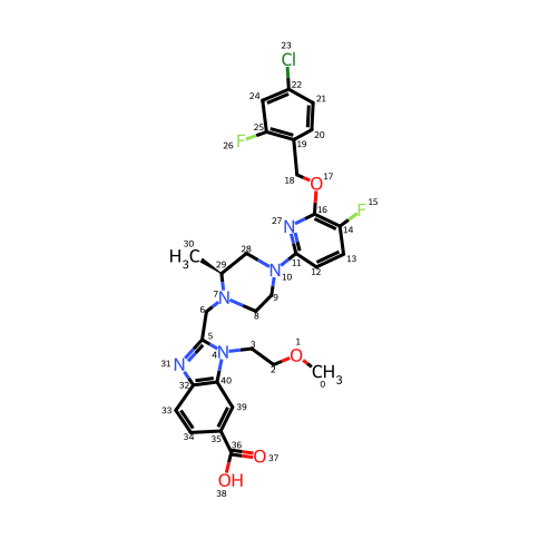 COCCn1c(CN2CCN(c3ccc(F)c(OCc4ccc(Cl)cc4F)n3)C[C@@H]2C)nc2ccc(C(=O)O)cc21